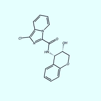 O=C(N[C@H]1c2ccccc2OC[C@H]1O)c1nc(Cl)c2ccccn12